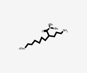 CCCCCCCCCCCCCCCCC(CCCN)C(=O)N(CCCC)CCCC